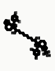 O=S(=O)(O)c1cc2c(s1)-c1c(c(C(O)CCCCCCCCC(O)c3nn(-c4ccc(Cl)cc4Cl)c4c3CCCc3ccsc3-4)nn1-c1ccc(Cl)cc1Cl)CCC2